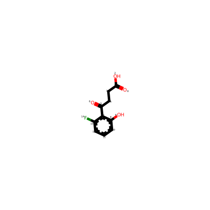 O=C(O)CCC(=O)c1c(O)cccc1F